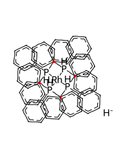 [H-].c1ccc([PH](c2ccccc2)(c2ccccc2)[Rh]([PH](c2ccccc2)(c2ccccc2)c2ccccc2)([PH](c2ccccc2)(c2ccccc2)c2ccccc2)[PH](c2ccccc2)(c2ccccc2)c2ccccc2)cc1